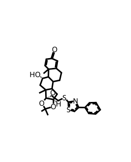 CC1(C)O[C@@H]2CC3C4CCC5=CC(=O)C=CC5(C)C4[C@@H](O)CC3(C)[C@]2(C(=O)CSc2nc(-c3ccccc3)cs2)O1